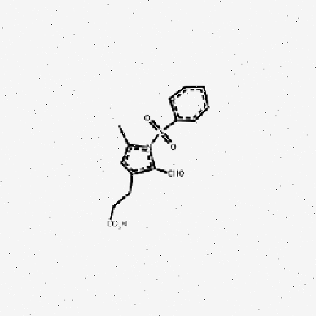 Cc1cc(CCC(=O)O)c(C=O)n1S(=O)(=O)c1ccccc1